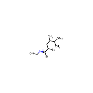 CC/C(=N\CN=O)C(CC)CC(C)C(C)OC